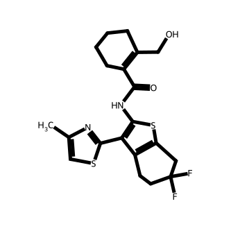 Cc1csc(-c2c(NC(=O)C3=C(CO)CCCC3)sc3c2CCC(F)(F)C3)n1